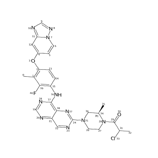 Cc1c(Oc2ccn3ncnc3c2)ccc(Nc2ncnc3cnc(N4CCN(C(=O)C(C)Cl)[C@H](C)C4)nc23)c1F